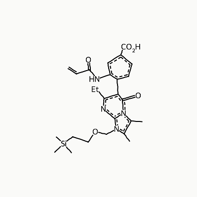 C=CC(=O)Nc1cc(C(=O)O)ccc1-c1c(CC)nc2n(COCC[Si](C)(C)C)c(C)c(C)n2c1=O